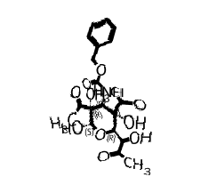 CC(=O)C(O)[C@H]1O[C@H](O)[C@@](O)(C(C)=O)[C@H](NC(=O)OCc2ccccc2)[C@@]1(O)C(C)=O